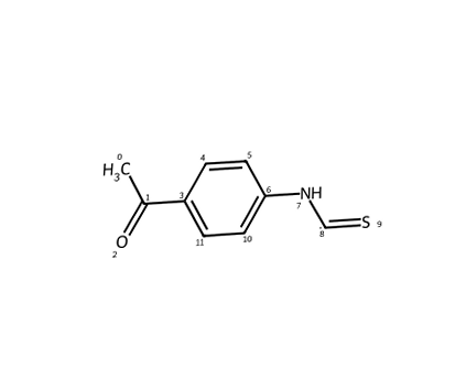 CC(=O)c1ccc(N[C]=S)cc1